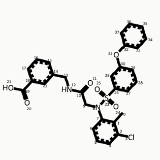 Cc1c(Cl)cccc1N(CC(=O)NCc1cccc(C(=O)O)c1)S(=O)(=O)c1cccc(Oc2ccccc2)c1